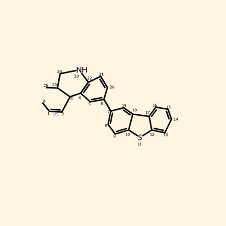 C/C=C\C1c2cc(-c3ccc4sc5ccccc5c4c3)ccc2NCC1C